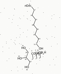 CC(=O)O.CC(=O)O.CC(=O)O.CCCCCCCCCCCCCCCCCCO.OCC(O)CO